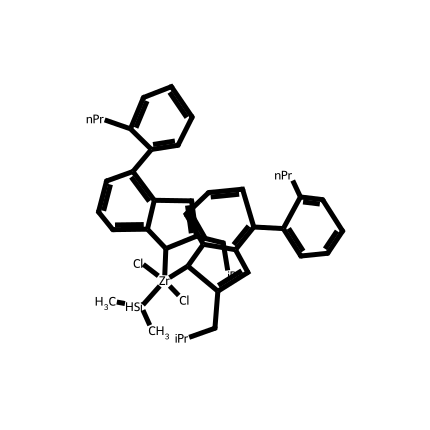 CCCc1ccccc1-c1cccc2c1C=C(CC(C)C)[CH]2[Zr]([Cl])([Cl])([CH]1C(CC(C)C)=Cc2c(-c3ccccc3CCC)cccc21)[SiH](C)C